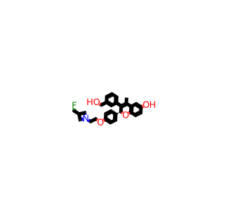 CC1=C(c2cccc(CO)c2)[C@@H](c2ccc(OCCN3CC(CF)C3)cc2)Oc2ccc(O)cc21